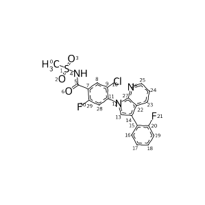 CS(=O)(=O)NC(=O)c1cc(Cl)c(-n2cc(-c3ccccc3F)c3cccnc32)cc1F